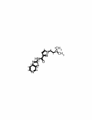 CN(C)CCn1ccc(C(=O)Nc2nc3ccncc3s2)n1